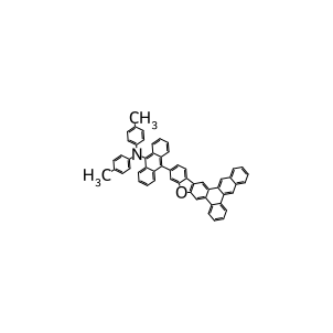 Cc1ccc(N(c2ccc(C)cc2)c2c3ccccc3c(-c3ccc4c(c3)oc3cc5c6ccccc6c6cc7ccccc7cc6c5cc34)c3ccccc23)cc1